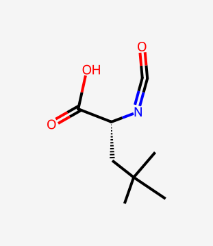 CC(C)(C)C[C@@H](N=C=O)C(=O)O